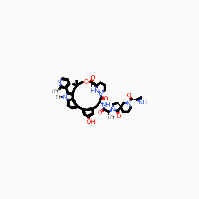 CCn1c(-c2cccnc2C(C)C)c2c3cc(ccc31)-c1cc(O)cc(c1)C[C@H](NC(=O)[C@H](C(C)C)N1CC[C@@]3(CCCN(C(=O)[C@@H]4CN4)C3)C1=O)C(=O)N1CCC[C@H](N1)C(=O)OCC(C)(C)C2